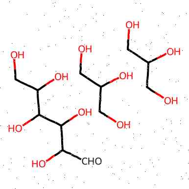 O=CC(O)C(O)C(O)C(O)CO.OCC(O)CO.OCC(O)CO